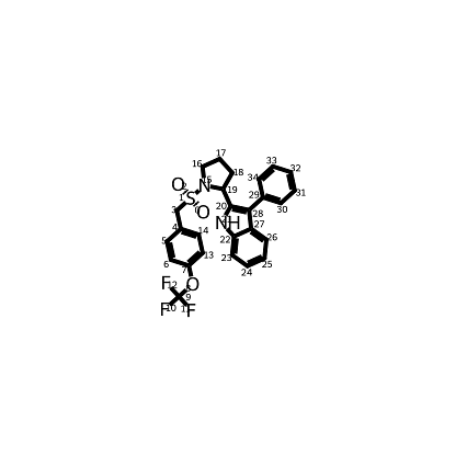 O=S(=O)(Cc1ccc(OC(F)(F)F)cc1)N1CCCC1c1[nH]c2ccccc2c1-c1ccccc1